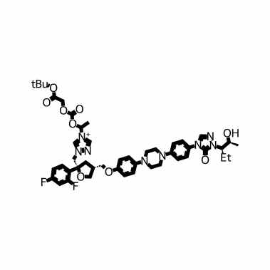 CC[C@@H]([C@H](C)O)n1ncn(-c2ccc(N3CCN(c4ccc(OC[C@@H]5CO[C@@](Cn6c[n+](C(C)OC(=O)OCC(=O)OC(C)(C)C)cn6)(c6ccc(F)cc6F)C5)cc4)CC3)cc2)c1=O